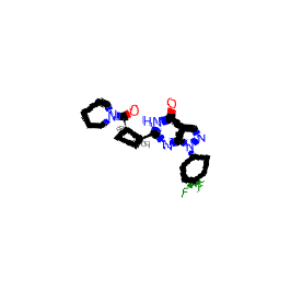 O=C([C@H]1CC[C@@H]1c1nc2c(cnn2C2CCC(F)(F)CC2)c(=O)[nH]1)N1CCCCC1